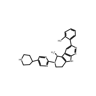 C[C@H]1c2c([nH]c3nnc(-c4ccccc4O)cc23)CCN1c1ncc(C2CCNCC2)cn1